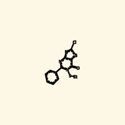 CCSn1c(-c2ccccc2)nc2nc(Cl)sc2c1=O